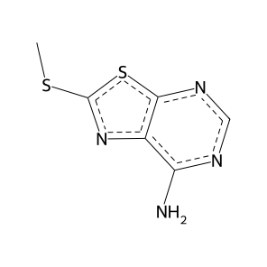 CSc1nc2c(N)ncnc2s1